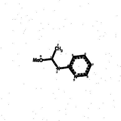 COC(C)[N]c1ccccn1